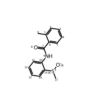 Cc1ccccc1C(=O)Nc1ccccc1[S+](C)[O-]